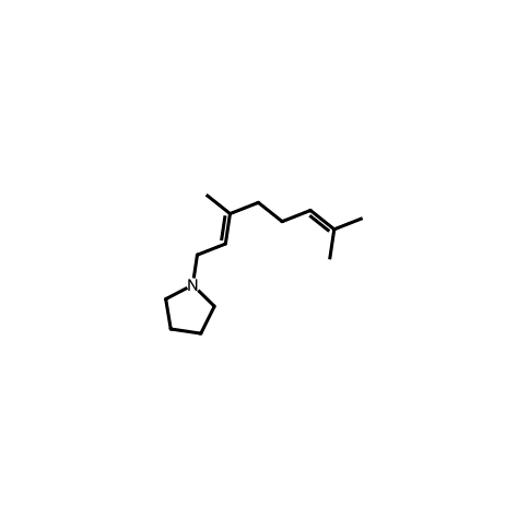 CC(C)=CCC/C(C)=C/CN1CCCC1